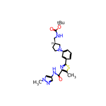 Cc1sc(-c2cccc(N3CC[C@@H](CNC(=O)OC(C)(C)C)C3)c2)nc1C(=O)Nc1cnn(C)c1